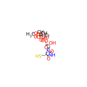 COP(=O)(OC)OP(=O)(OC)OP(=O)(OC)OC[C@H]1O[C@@H](n2cc(CCS)c(=O)[nH]c2=O)CC1O